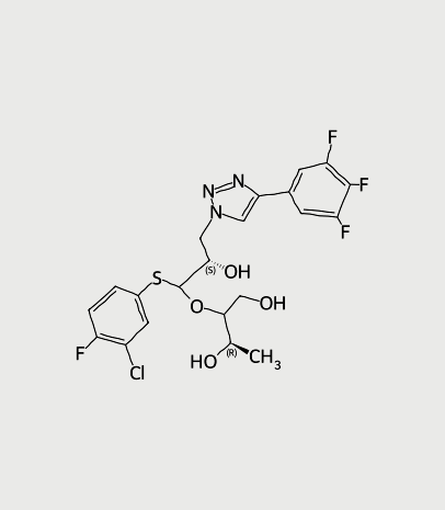 C[C@@H](O)C(CO)OC(Sc1ccc(F)c(Cl)c1)[C@@H](O)Cn1cc(-c2cc(F)c(F)c(F)c2)nn1